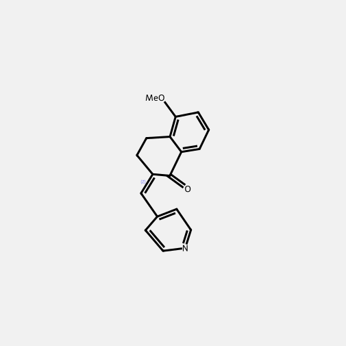 COc1cccc2c1CC/C(=C/c1ccncc1)C2=O